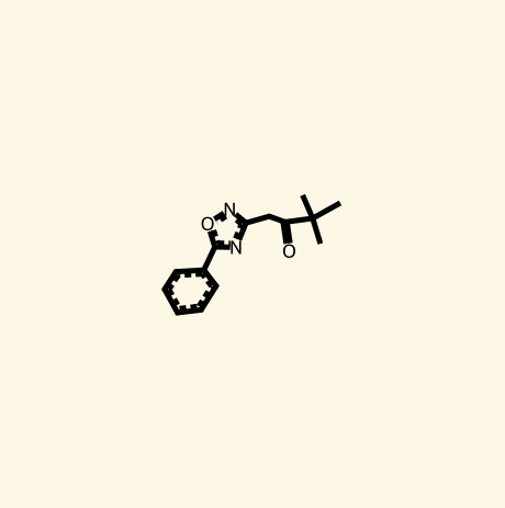 CC(C)(C)C(=O)Cc1noc(-c2ccccc2)n1